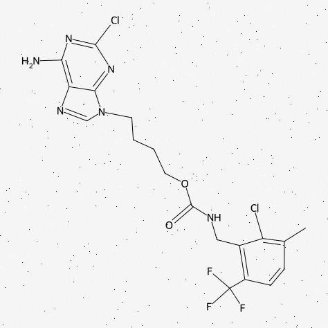 Cc1ccc(C(F)(F)F)c(CNC(=O)OCCCCn2cnc3c(N)nc(Cl)nc32)c1Cl